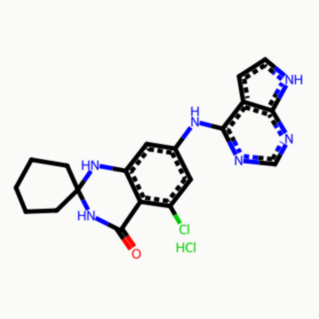 Cl.O=C1NC2(CCCCC2)Nc2cc(Nc3ncnc4[nH]ccc34)cc(Cl)c21